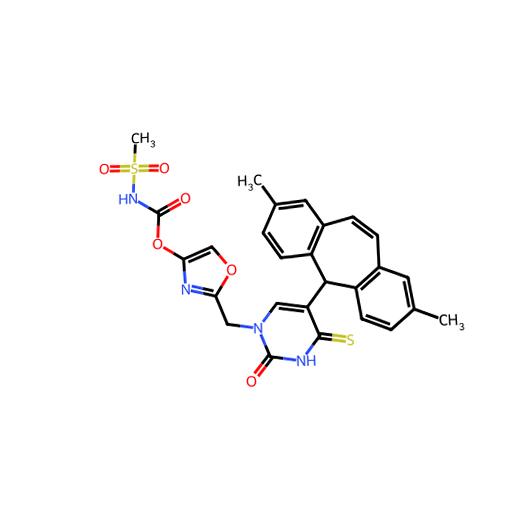 Cc1ccc2c(c1)C=Cc1cc(C)ccc1C2c1cn(Cc2nc(OC(=O)NS(C)(=O)=O)co2)c(=O)[nH]c1=S